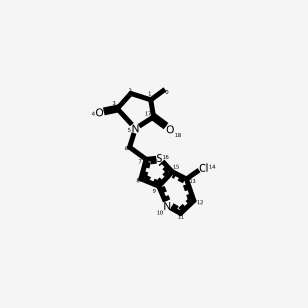 CC1CC(=O)N(Cc2cc3nccc(Cl)c3s2)C1=O